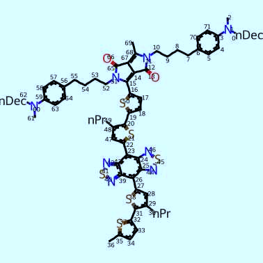 CCCCCCCCCCN(C)c1ccc(CCCCN2C(=O)C3=C(c4ccc(-c5sc(-c6c7c(c(-c8cc(CCC)c(-c9ccc(C)s9)s8)c8nsnc68)N=S=N7)cc5CCC)s4)N(CCCCc4ccc(N(C)CCCCCCCCCC)cc4)C(=O)C3=C2C)cc1